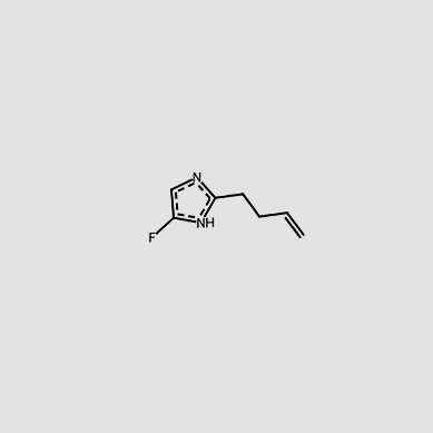 C=CCCc1ncc(F)[nH]1